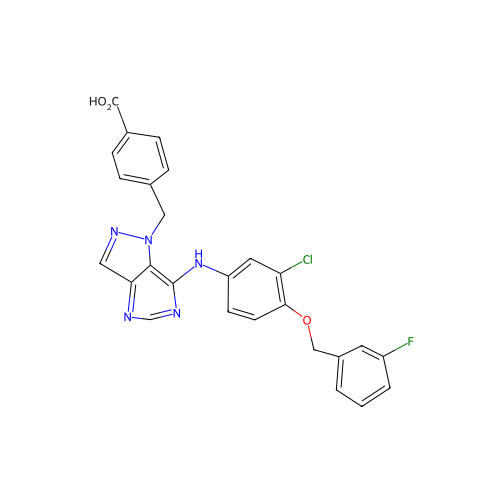 O=C(O)c1ccc(Cn2ncc3ncnc(Nc4ccc(OCc5cccc(F)c5)c(Cl)c4)c32)cc1